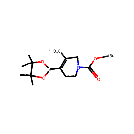 CC(C)(C)OC(=O)N1CCC(B2OC(C)(C)C(C)(C)O2)=C(C(=O)O)C1